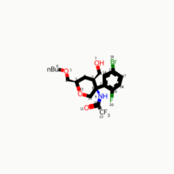 CCCCOC[C@H]1C[C@@H](CO)[C@](NC(=O)C(F)(F)F)(c2cc(Br)ccc2F)CO1